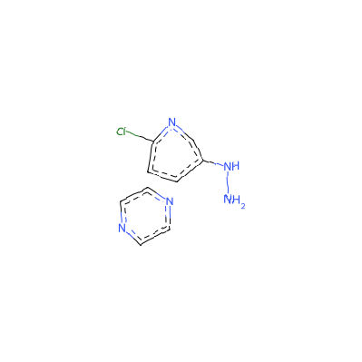 NNc1ccc(Cl)nc1.c1cnccn1